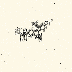 CCOc1ccc2c(-c3nn(C)cc3C)c(-c3ccc(NC(=O)NC4CCC4)cc3)n(C3CCC3)c2c1